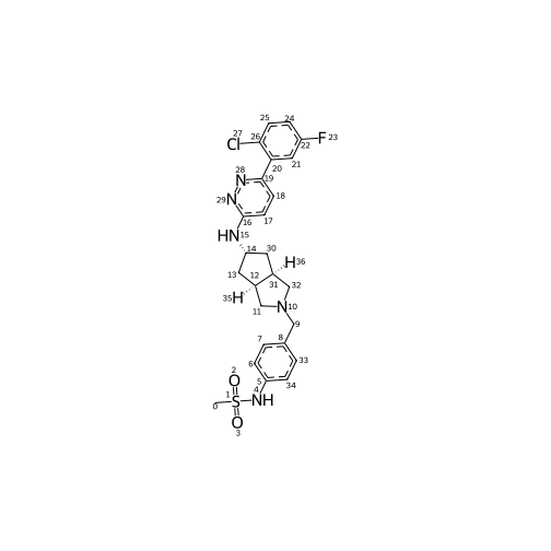 CS(=O)(=O)Nc1ccc(CN2C[C@H]3C[C@H](Nc4ccc(-c5cc(F)ccc5Cl)nn4)C[C@H]3C2)cc1